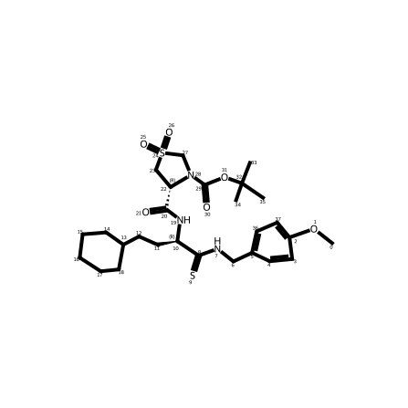 COc1ccc(CNC(=S)[C@@H](CCC2CCCCC2)NC(=O)[C@@H]2CS(=O)(=O)CN2C(=O)OC(C)(C)C)cc1